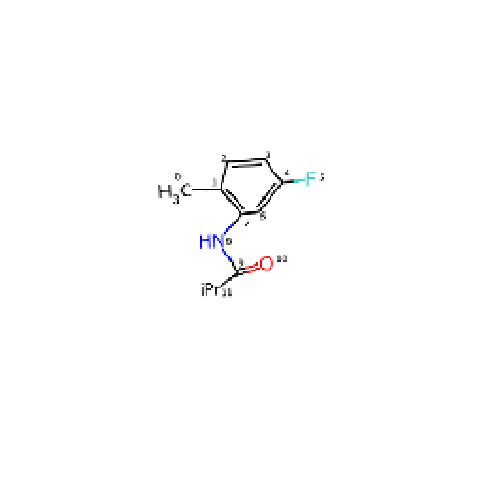 Cc1ccc(F)cc1NC(=O)C(C)C